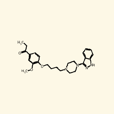 CCC(=O)c1ccc(OCCCCN2CCN(c3n[nH]c4ccccc34)CC2)c(OC)c1